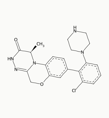 C[C@@H]1C(=O)NN=C2COc3cc(-c4c(Cl)cccc4N4CCNCC4)ccc3N21